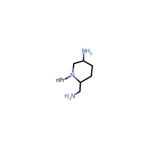 CCCN1CC(N)CCC1CN